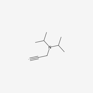 [C]#CCN(C(C)C)C(C)C